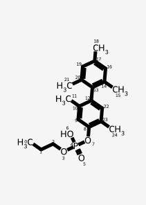 CCCOP(=O)(O)Oc1cc(C)c(-c2c(C)cc(C)cc2C)cc1C